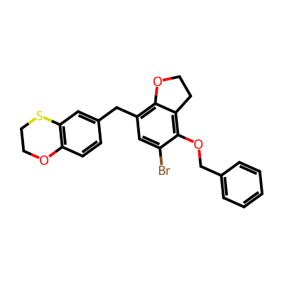 Brc1cc(Cc2ccc3c(c2)SCCO3)c2c(c1OCc1ccccc1)CCO2